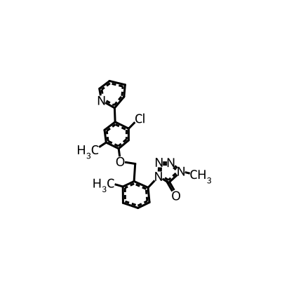 Cc1cc(-c2ccccn2)c(Cl)cc1OCc1c(C)cccc1-n1nnn(C)c1=O